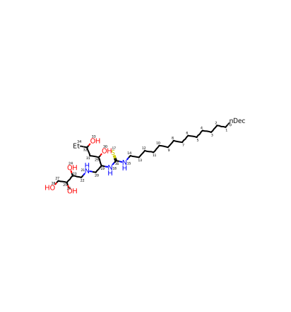 CCCCCCCCCCCCCCCCCCCCCCCCNC(=S)NC(CNCC(O)C(O)CO)C(O)CC(O)CC